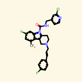 O=C(NCc1ccnc(Cl)c1)n1c2c(c3c(C(F)(F)F)cc(F)cc31)CN(CC=Cc1ccc(F)cc1)CC2